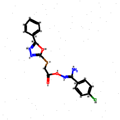 NC(=NOC(=O)CSc1nnc(-c2ccccc2)o1)c1ccc(Cl)cc1